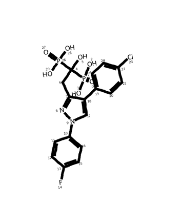 O=P(O)(O)C(O)(Cc1nn(-c2ccc(F)cc2)cc1-c1ccc(Cl)cc1)P(=O)(O)O